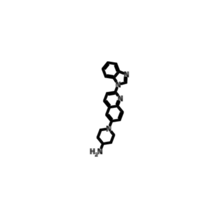 NC1CCN(c2ccc3nc(-n4cnc5ccccc54)ccc3c2)CC1